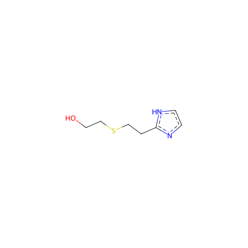 OCCSCCc1ncc[nH]1